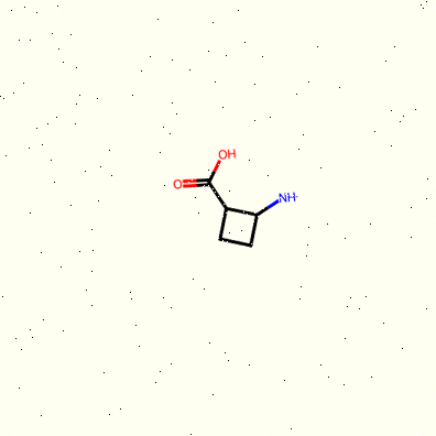 [NH]C1CCC1C(=O)O